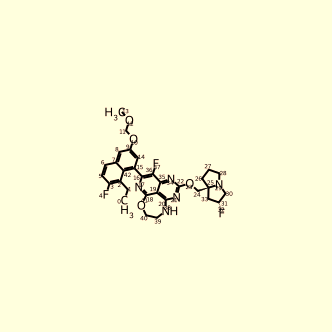 CCc1c(F)ccc2cc(OCOC)cc(-c3nc4c5c(nc(OC[C@@]67CCCN6C[C@H](F)C7)nc5c3F)NCCO4)c12